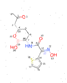 CC(=O)C[C@@H]1CC[C@H](NC(=O)/C(=N/O)c2cccs2)B(O)O1